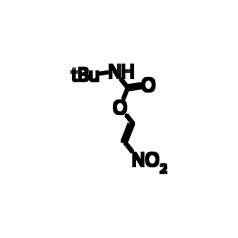 CC(C)(C)NC(=O)OC=C[N+](=O)[O-]